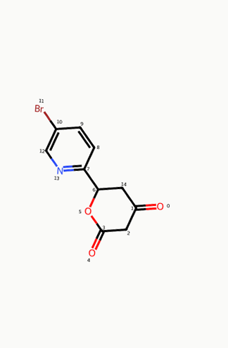 O=C1CC(=O)OC(c2ccc(Br)cn2)C1